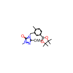 COc1nn(C)c(=O)n1Cc1cc(B2OC(C)(C)C(C)(C)O2)ccc1C